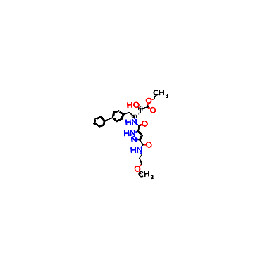 CCOC(=O)[C@@H](O)C[C@@H](Cc1ccc(-c2ccccc2)cc1)NC(=O)c1cc(C(=O)NCCCOC)n[nH]1